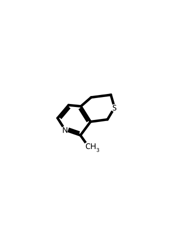 Cc1nccc2c1CSCC2